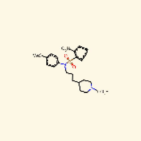 CSc1ccc(N(CCCC2CCN(C(=O)O)CC2)S(=O)(=O)c2ccccc2[N+](=O)[O-])cc1